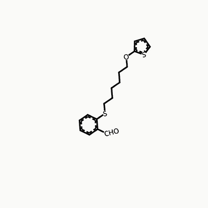 O=Cc1ccccc1SCCCCCCOc1cccs1